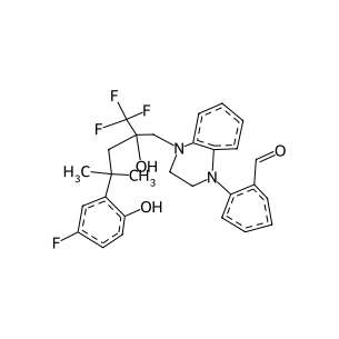 CC(C)(CC(O)(CN1CCN(c2ccccc2C=O)c2ccccc21)C(F)(F)F)c1cc(F)ccc1O